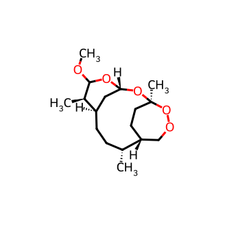 COC1O[C@H]2C[C@@H](CC[C@@H](C)[C@@H]3CC[C@](C)(OOC3)O2)[C@H]1C